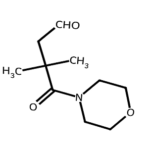 CC(C)(CC=O)C(=O)N1CCOCC1